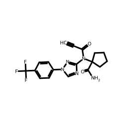 C#CC(=O)N(c1ncn(-c2ccc(C(F)(F)F)cc2)n1)C1(C(N)=O)CCCC1